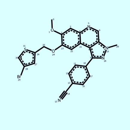 COc1cc2ncc3c(c(-c4ccc(C#N)cc4)nn3C)c2cc1OCc1cc(Br)cs1